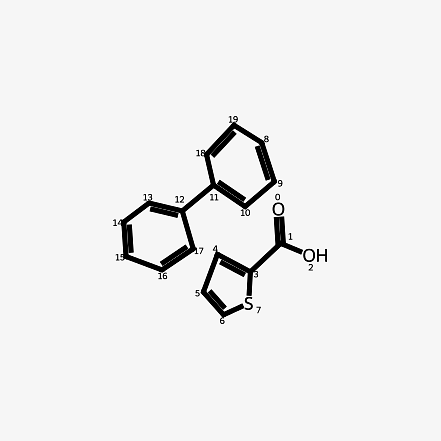 O=C(O)c1cccs1.c1ccc(-c2ccccc2)cc1